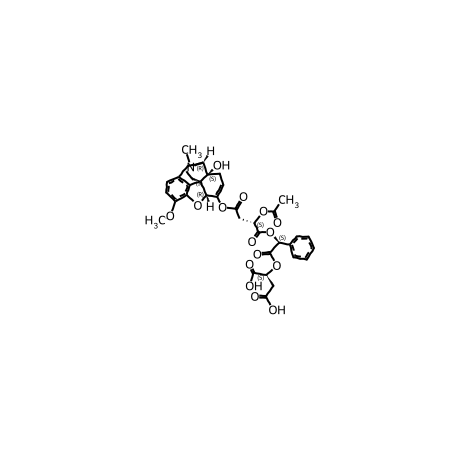 COc1ccc2c3c1O[C@H]1C(OC(=O)C[C@H](OC(C)=O)C(=O)O[C@H](C(=O)O[C@@H](CC(=O)O)C(=O)O)c4ccccc4)=CC[C@@]4(O)[C@@H](C2)N(C)CC[C@]314